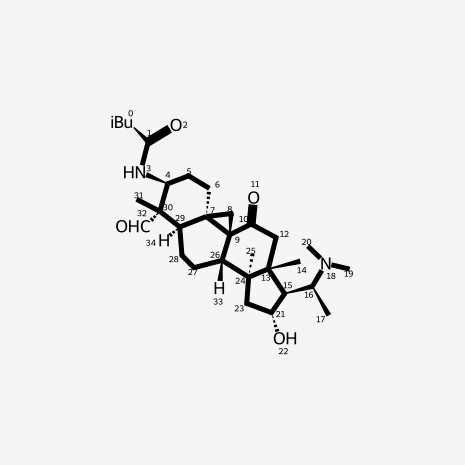 CC[C@H](C)C(=O)N[C@H]1CC[C@]23C[C@]24C(=O)C[C@]2(C)[C@@H]([C@H](C)N(C)C)[C@H](O)C[C@@]2(C)[C@@H]4CC[C@H]3[C@]1(C)C=O